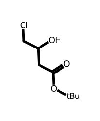 CC(C)(C)OC(=O)CC(O)CCl